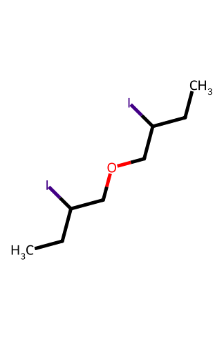 CCC(I)COCC(I)CC